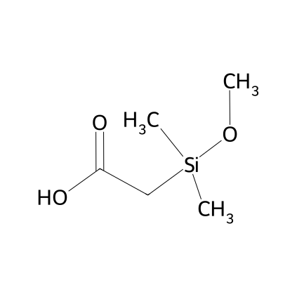 CO[Si](C)(C)CC(=O)O